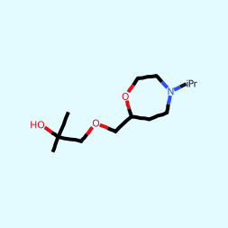 CC(C)N1CCOC(COCC(C)(C)O)CC1